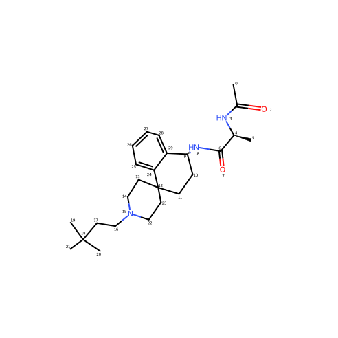 CC(=O)N[C@@H](C)C(=O)N[C@@H]1CCC2(CCN(CCC(C)(C)C)CC2)c2ccccc21